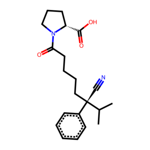 CC(C)[C@@](C#N)(CCCCC(=O)N1CCC[C@@H]1C(=O)O)c1ccccc1